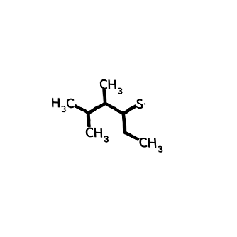 CCC([S])C(C)C(C)C